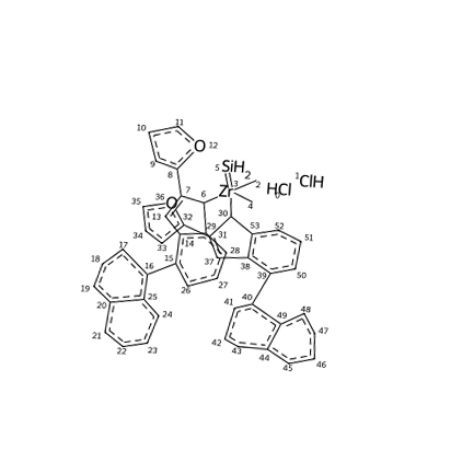 Cl.Cl.[CH3][Zr]([CH3])(=[SiH2])([CH]1C(c2ccco2)=Cc2c(-c3cccc4ccccc34)cccc21)[CH]1C(c2ccco2)=Cc2c(-c3cccc4ccccc34)cccc21